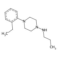 CCCNN1CCN(c2ccccc2CC)CC1